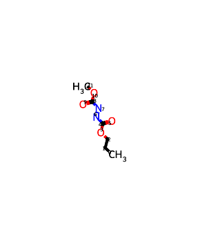 CCCOC(=O)N=NC(=O)OC